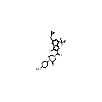 O=C(c1nc2c(C(F)(F)F)cc(CC3CC3)cn2c1Cl)N1CCN(C2CCC(O)CC2)C(=O)C1